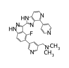 CN(C)Cc1cncc(-c2ccc3[nH]nc(-c4nc5c(-c6ccncc6)nccc5[nH]4)c3c2F)c1